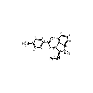 Bc1ccc(C(=O)Cn2/c(=N\C(C)C)n(C)c3ccccc32)cc1